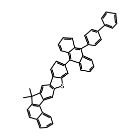 CC1(C)c2cc3c(cc2-c2c1ccc1ccccc21)sc1cc(-c2c4ccccc4c(-c4ccc(-c5ccccc5)cc4)c4ccccc24)ccc13